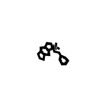 [CH3][Hf]([CH3])[C]1(CCc2ccccc2)C=Cc2cc3c(cc21)CCC3